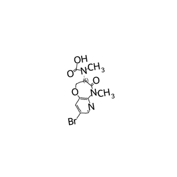 CN1C(=O)[C@@H](N(C)C(=O)O)COc2cc(Br)cnc21